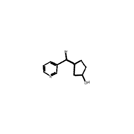 OC1CCC(C(Br)c2cccnc2)C1